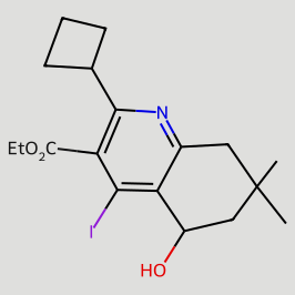 CCOC(=O)c1c(C2CCC2)nc2c(c1I)C(O)CC(C)(C)C2